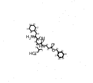 CC(C)C[C@H](C[C@H](O)[C@@H](N)CC1CCCCC1)C(=O)NCCC(=O)OCc1ccccc1.Cl